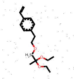 C=Cc1ccc(CCO[SiH2]C(C)(OCC)OCC)cc1